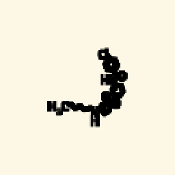 CCCCCCNC1CCN(S(=O)(=O)c2cccc(NC(=O)c3ccc(Cl)cc3)c2)C1